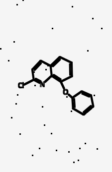 Clc1ccc2cccc(Oc3ccccc3)c2n1